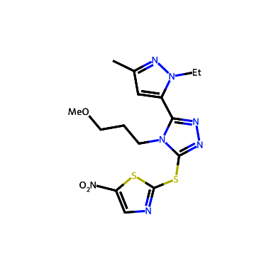 CCn1nc(C)cc1-c1nnc(Sc2ncc([N+](=O)[O-])s2)n1CCCOC